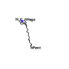 CCCCCC=CCC=CCCCCCCCCCC(CCCCCCC)N(C)C